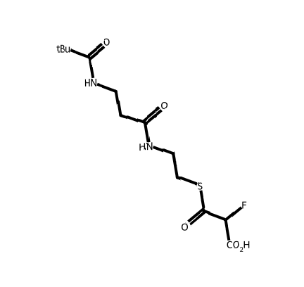 CC(C)(C)C(=O)NCCC(=O)NCCSC(=O)C(F)C(=O)O